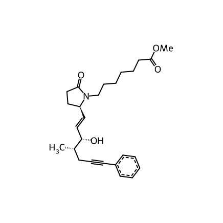 COC(=O)CCCCCCN1C(=O)CC[C@@H]1C=C[C@H](O)[C@@H](C)CC#Cc1ccccc1